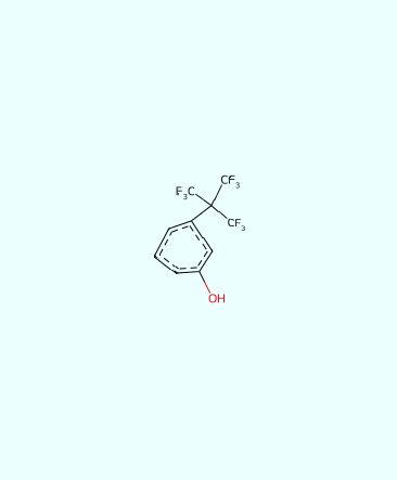 Oc1cccc(C(C(F)(F)F)(C(F)(F)F)C(F)(F)F)c1